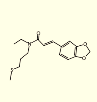 CCN(CCCSC)C(=O)/C=C/c1ccc2c(c1)OCO2